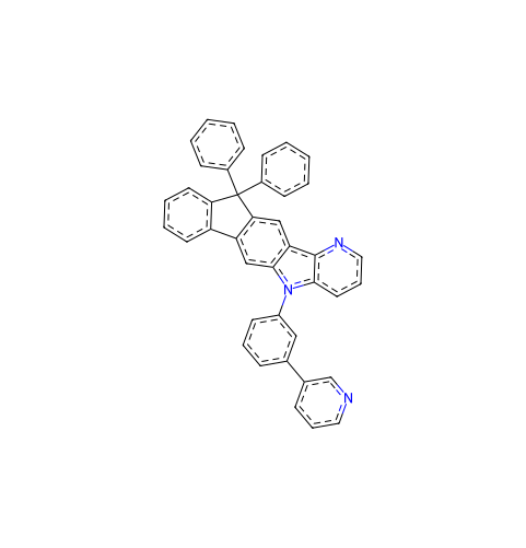 c1ccc(C2(c3ccccc3)c3ccccc3-c3cc4c(cc32)c2ncccc2n4-c2cccc(-c3cccnc3)c2)cc1